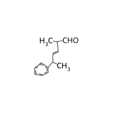 CC(C=O)C=CC(C)c1ccccc1